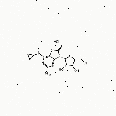 Cl.Nc1nc(NC2CC2)c2sc(=O)n([C@@H]3O[C@H](CO)[C@@H](O)[C@H]3O)c2n1